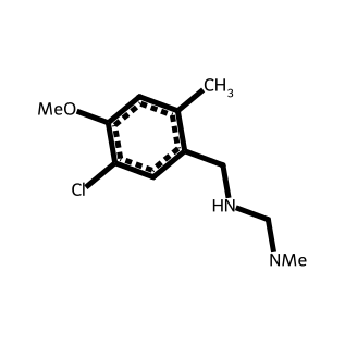 CNCNCc1cc(Cl)c(OC)cc1C